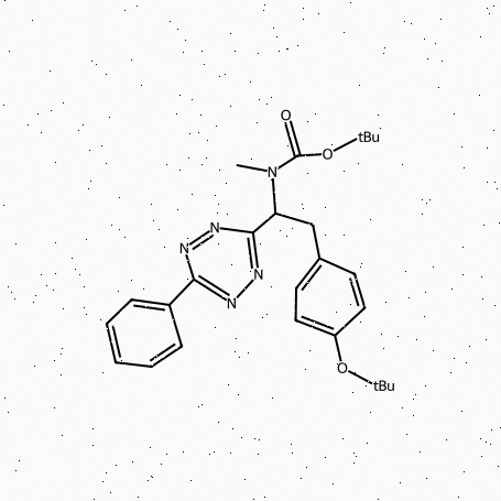 CN(C(=O)OC(C)(C)C)C(Cc1ccc(OC(C)(C)C)cc1)c1nnc(-c2ccccc2)nn1